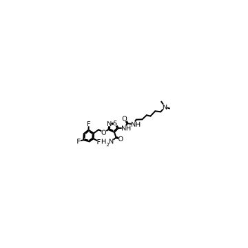 CN(C)CCCCCCNC(=O)Nc1snc(OCc2c(F)cc(F)cc2F)c1C(N)=O